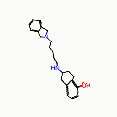 Oc1cccc2c1CCC(NCCCCCN1Cc3ccccc3C1)C2